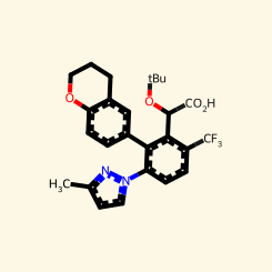 Cc1ccn(-c2ccc(C(F)(F)F)c(C(OC(C)(C)C)C(=O)O)c2-c2ccc3c(c2)CCCO3)n1